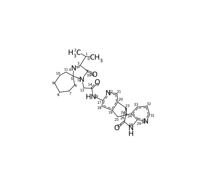 CC(C)C1=NC2(CCCCCC2)N(CC(=O)Nc2cc3c(cn2)C[C@]2(C3)C(=O)Nc3ncccc32)C1=O